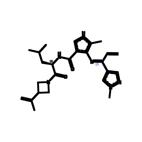 C=C/C(=N\c1c(C(=O)N[C@H](CC(C)C)C(=O)N2CC(C(=C)C)C2)c[nH]c1C)c1cnn(C)c1